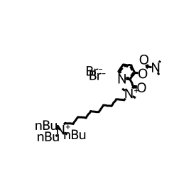 CCCC[N+](CCCC)(CCCC)CCCCCCCCCC[N+](C)(C)C(=O)c1ncccc1OC(=O)N(C)C.[Br-].[Br-]